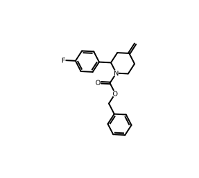 C=C1CCN(C(=O)OCc2ccccc2)C(c2ccc(F)cc2)C1